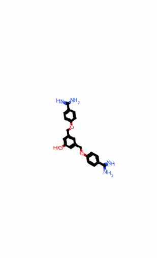 N=C(N)c1ccc(OCc2cc(O)cc(COc3ccc(C(=N)N)cc3)c2)cc1